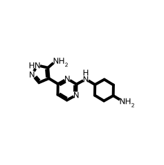 Nc1[nH]ncc1-c1ccnc(NC2CCC(N)CC2)n1